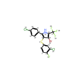 Fc1ccc(Sc2c(-c3ccc(Cl)cc3)[nH]c(C(F)(F)F)c2Br)cc1Cl